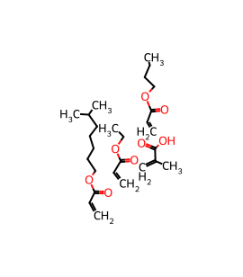 C=C(C)C(=O)O.C=CC(=O)OCC.C=CC(=O)OCCCC.C=CC(=O)OCCCCCC(C)C